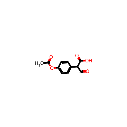 CC(=O)Oc1ccc(C([C]=O)C(=O)O)cc1